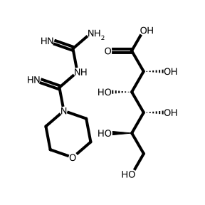 N=C(N)NC(=N)N1CCOCC1.O=C(O)[C@H](O)[C@@H](O)[C@H](O)[C@H](O)CO